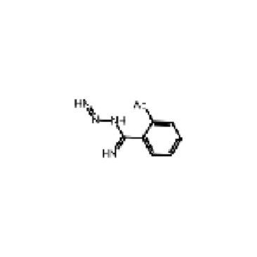 CC(=O)c1ccccc1C(=N)NN=N